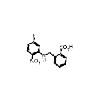 O=C(O)c1ccccc1CNc1cc(F)ccc1[N+](=O)[O-]